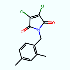 Cc1ccc(CN2C(=O)C(Cl)=C(Cl)C2=O)c(C)c1